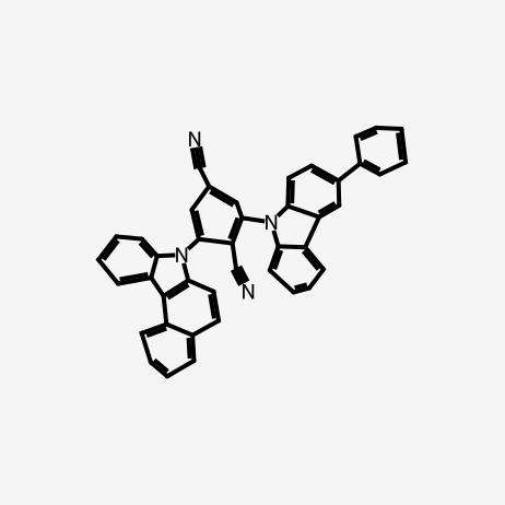 N#Cc1cc(-n2c3ccccc3c3cc(-c4ccccc4)ccc32)c(C#N)c(-n2c3ccccc3c3c4ccccc4ccc32)c1